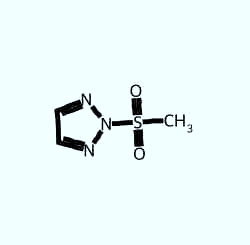 CS(=O)(=O)n1nccn1